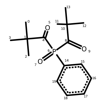 CC(C)(C)C(=O)P(=O)(C(=O)C(C)(C)C)c1ccccc1